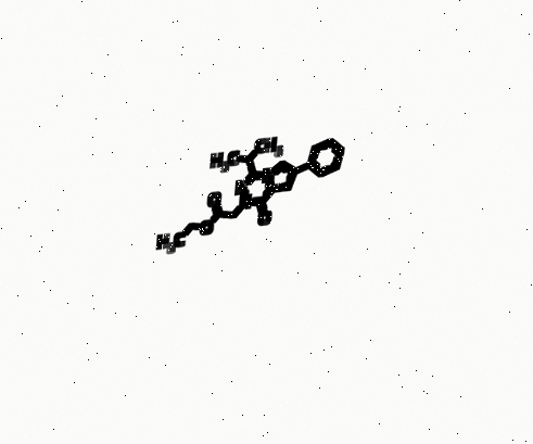 CCOC(=O)Cn1nc(C(C)C)n2cc(-c3ccccc3)cc2c1=O